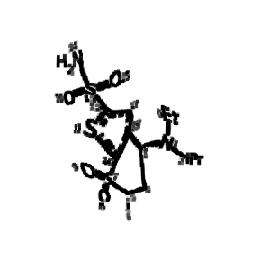 CCN(C(C)C)[C@H]1C[C@H](C)S(=O)(=O)c2sc(S(N)(=O)=O)cc21